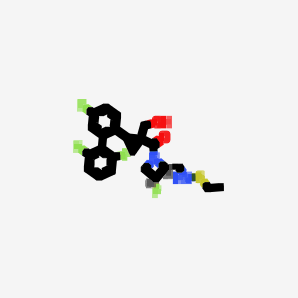 CCSNC[C@@H]1[C@H](F)CN1C(=O)C1(CO)CC1c1ccc(F)cc1-c1c(F)cccc1F